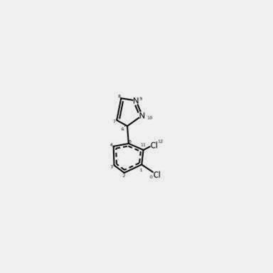 Clc1cccc([C]2C=CN=N2)c1Cl